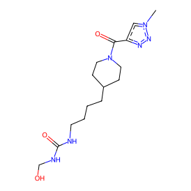 Cn1cc(C(=O)N2CCC(CCCCNC(=O)NCO)CC2)nn1